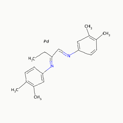 CCC(C=Nc1ccc(C)c(C)c1)=Nc1ccc(C)c(C)c1.[Pd]